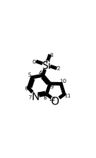 C[Si](C)(C)c1ccnc2c1CCO2